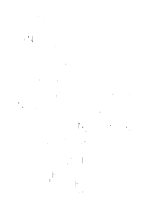 N#Cc1c(-c2ccc(N=O)cc2)cc(C2CCCCC2)nc1OS(=O)(=O)C(F)(F)F